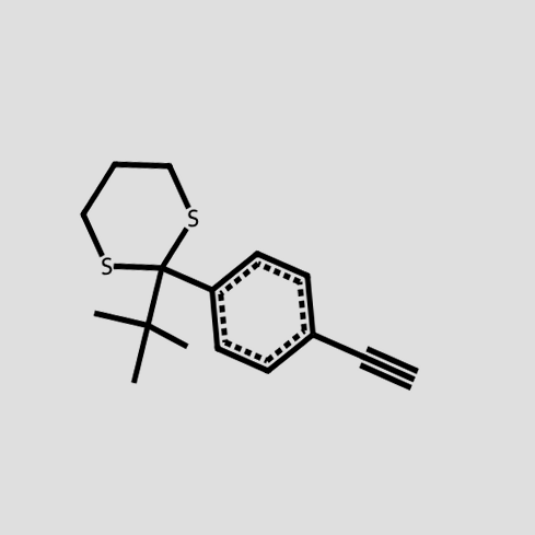 C#Cc1ccc(C2(C(C)(C)C)SCCCS2)cc1